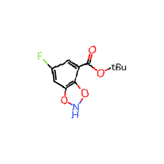 CC(C)(C)OC(=O)c1cc(F)cc2c1ONO2